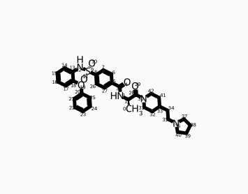 C[C@@H](NC(=O)c1ccc(S(=O)(=O)Nc2ccccc2Oc2ccccc2)cc1)C(=O)N1CCC(CCN2CCCC2)CC1